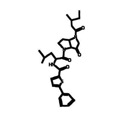 CCC(C)CC(=O)N1CC(=O)C2C1CCN2C(=O)C(CC(C)C)NC(=O)c1ccc(-c2ccccc2)s1